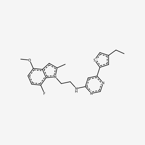 CCc1csc(-c2cc(NCCn3c(C)cc4c(OC)ccc(F)c43)ncn2)c1